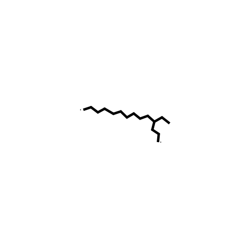 [CH2]CCCCCCCCCC(CC)CC[CH2]